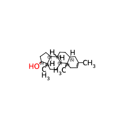 CC1=CC[C@@]2(C)[C@@H](CC[C@@H]3[C@@H]2CC[C@]2(C)[C@@H](O)CC[C@@H]32)C1